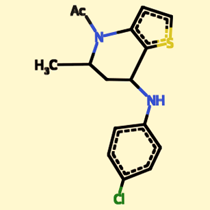 CC(=O)N1c2ccsc2C(Nc2ccc(Cl)cc2)CC1C